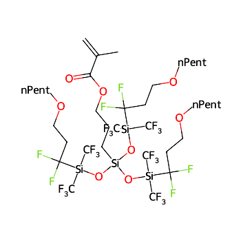 C=C(C)C(=O)OCCC[Si](O[Si](C(F)(F)F)(C(F)(F)F)C(F)(F)CCOCCCCC)(O[Si](C(F)(F)F)(C(F)(F)F)C(F)(F)CCOCCCCC)O[Si](C(F)(F)F)(C(F)(F)F)C(F)(F)CCOCCCCC